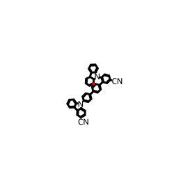 N#Cc1ccc(N2c3ccccc3C3C=CC=CC32)c(-c2ccc(-c3ccc(-n4c5ccccc5c5cc(C#N)ccc54)cc3)cc2)c1